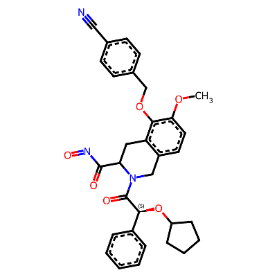 COc1ccc2c(c1OCc1ccc(C#N)cc1)CC(C(=O)N=O)N(C(=O)[C@@H](OC1CCCC1)c1ccccc1)C2